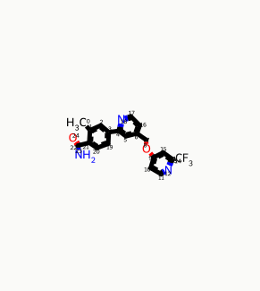 Cc1cc(-c2cc(COc3ccnc(C(F)(F)F)c3)ccn2)ccc1C(N)=O